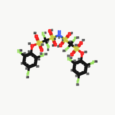 O=S(=O)(NS(=O)(=O)C(F)(F)S(=O)(=O)Oc1c(F)cc(F)cc1F)C(F)(F)S(=O)(=O)Oc1c(F)cc(F)cc1F